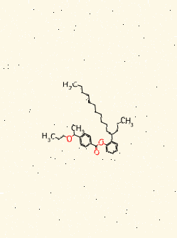 CCCCCCCCCCCC(CCC)c1ccccc1OC(=O)c1ccc(C(C)OCCC)cc1